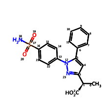 C[C@@H](C(=O)O)c1cc(-c2ccccc2)n(-c2ccc(S(N)(=O)=O)cc2)n1